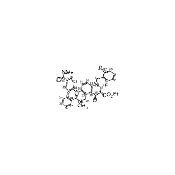 CCOC(=O)c1cn(Cc2c(F)cccc2F)c2ccc(Oc3ccc(C(=O)NC)cc3)c(CN(C)Cc3ccccc3)c2c1=O